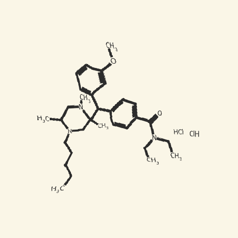 CCCCCN1CC(C)(C(c2ccc(C(=O)N(CC)CC)cc2)c2cccc(OC)c2)N(C)CC1C.Cl.Cl